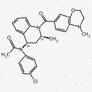 CC(=O)N(c1ccc(Cl)cc1)[C@@H]1C[C@H](C)N(C(=O)c2ccc3c(c2)OCCN3C)c2ccccc21